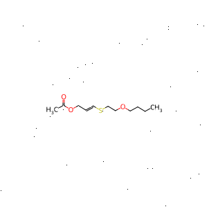 CCCCOCCSC=CCOC(C)=O